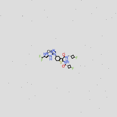 Cn1nc(C(F)F)cc1Nc1nncn1[C@H]1CCc2sc(NC(=O)[C@H]3C[C@H](F)C3)c(C(=O)NC[C@H]3C[C@H](F)C3)c2C1